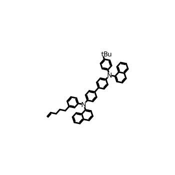 C=CCCCc1cccc(N(c2ccc(-c3ccc(N(c4ccc(C(C)(C)C)cc4)c4cccc5ccccc45)cc3)cc2)c2cccc3ccccc23)c1